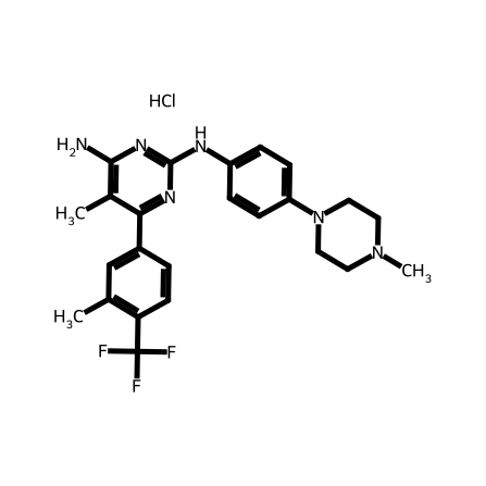 Cc1cc(-c2nc(Nc3ccc(N4CCN(C)CC4)cc3)nc(N)c2C)ccc1C(F)(F)F.Cl